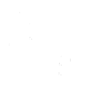 C#CC1=C(/C=C\C)Sc2ccc3cc2N1c1cccc(c1)-c1cccc(c1)C1=N[C@H](CC(c2ccccc2)=N1)c1cccc-3c1